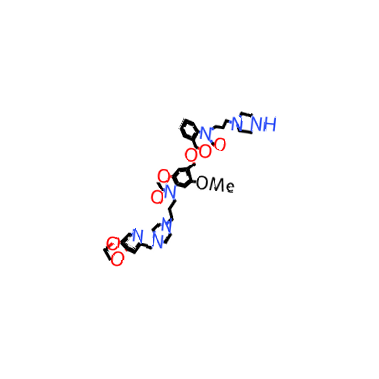 COc1cc2c(cc1COC1OC(=O)N(CCCN3CCNCC3)c3ccccc31)OCC(=O)N2CCCN1CCN(Cc2cc3c(cn2)OCCO3)CC1